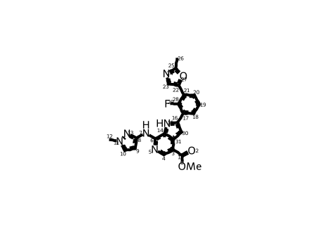 COC(=O)c1cnc(Nc2ccn(C)n2)c2[nH]c(-c3cccc(-c4cnc(C)o4)c3F)cc12